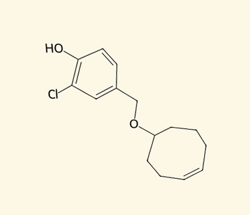 Oc1ccc(COC2CCC=CCCC2)cc1Cl